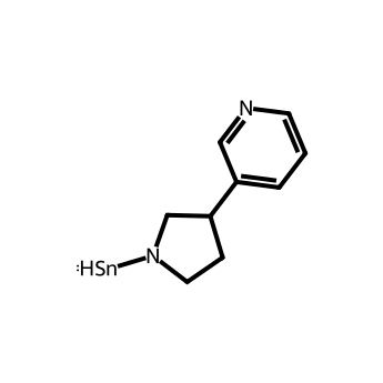 [SnH][N]1CCC(c2cccnc2)C1